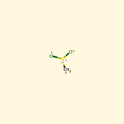 C[SH](Cl)Cl